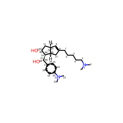 CN(C)CCCCCC1=C[C@H]2C[C@@H](O)[C@H]([C@@H](O)c3ccc(N(C)C)cc3)[C@H]2C1